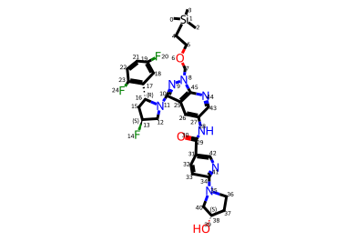 C[Si](C)(C)CCOCn1nc(N2C[C@@H](F)C[C@@H]2c2cc(F)ccc2F)c2cc(NC(=O)c3ccc(N4CC[C@H](O)C4)nc3)cnc21